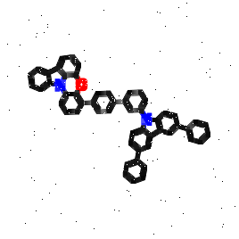 c1ccc(-c2ccc3c(c2)c2cc(-c4ccccc4)ccc2n3-c2cccc(-c3ccc(-c4cccc5c4Oc4cccc6c7ccccc7n-5c46)cc3)c2)cc1